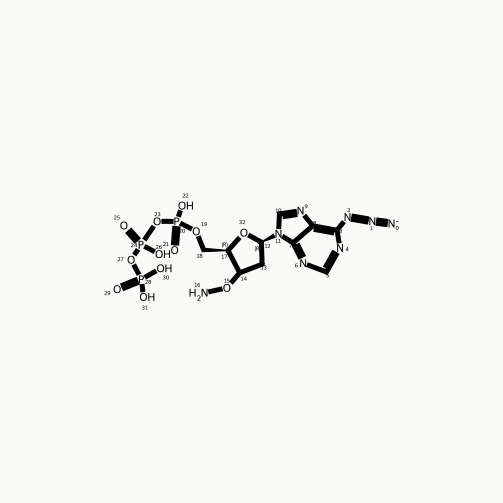 [N-]=[N+]=Nc1ncnc2c1ncn2[C@H]1CC(ON)[C@@H](COP(=O)(O)OP(=O)(O)OP(=O)(O)O)O1